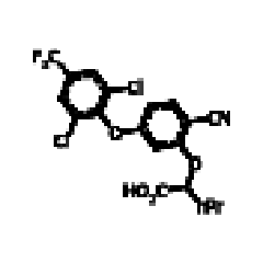 CCCC(Oc1cc(Oc2c(Cl)cc(C(F)(F)F)cc2Cl)ccc1C#N)C(=O)O